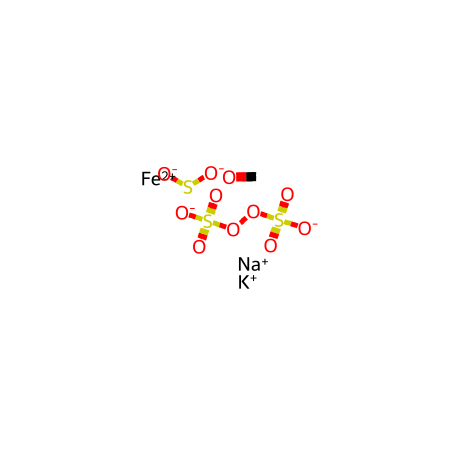 C=O.O=S(=O)([O-])OOS(=O)(=O)[O-].[Fe+2].[K+].[Na+].[O-]S[O-]